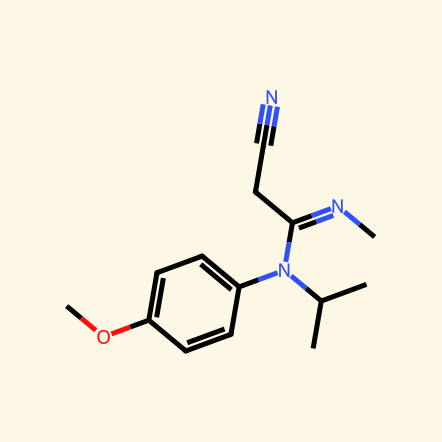 C/N=C(/CC#N)N(c1ccc(OC)cc1)C(C)C